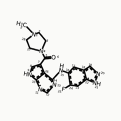 CN1CCN(C(=O)c2c[nH]c3ncnc(Nc4cc5cn[nH]c5cc4F)c23)CC1